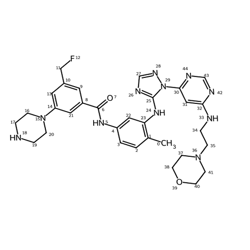 Cc1ccc(NC(=O)c2cc(CF)cc(N3CCNCC3)c2)cc1Nc1ncnn1-c1cc(NCCN2CCOCC2)ncn1